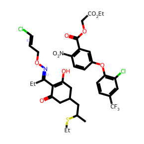 CCOC(=O)COC(=O)c1cc(Oc2ccc(C(F)(F)F)cc2Cl)ccc1[N+](=O)[O-].CCSC(C)CC1CC(=O)C(/C(CC)=N/OC/C=C/Cl)=C(O)C1